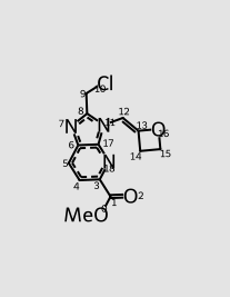 COC(=O)c1ccc2nc(CCl)n(C=C3CCO3)c2n1